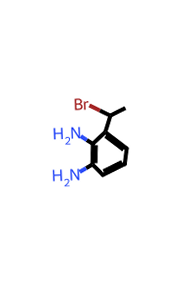 CC(Br)c1cccc(N)c1N